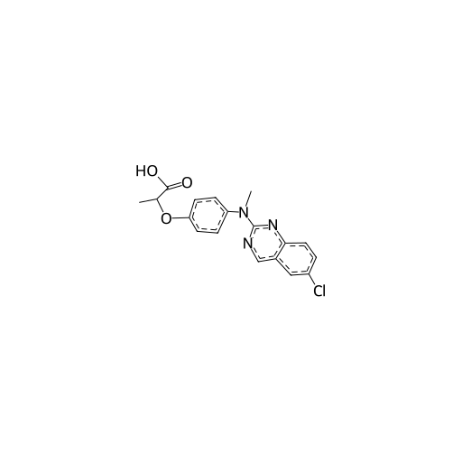 CC(Oc1ccc(N(C)c2ncc3cc(Cl)ccc3n2)cc1)C(=O)O